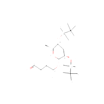 C[C@H](CCC=O)O[C@@H]1O[C@@H](C)[C@H](O[Si](C)(C)C(C)(C)C)C[C@H]1O[Si](C)(C)C(C)(C)C